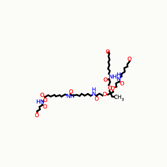 CCC(COCCC(=O)NCCCCCCC=O)(COCCC(=O)NCCCCCCCC=O)COCCC(=O)NCCCCCCCC(=O)NCCCCCCCC(=O)ONC(=O)CCC=O